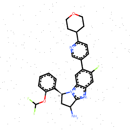 NC1C[C@@H](c2ccccc2OC(F)F)n2c1nc1cc(F)c(-c3ccc(C4CCOCC4)nc3)cc12